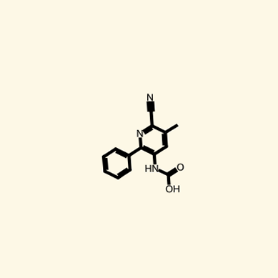 Cc1cc(NC(=O)O)c(-c2ccccc2)nc1C#N